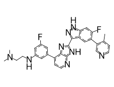 Cc1ccncc1-c1cc2c(-c3nc4c(-c5cc(F)cc(NCCN(C)C)c5)ccnc4[nH]3)n[nH]c2cc1F